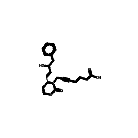 O=C(O)CCCC#CCN1C(=O)SCC[C@@H]1/C=C/C(O)Cc1ccccc1